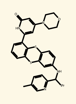 Cc1ccc(C(Nc2ccc3c(c2)Sc2cccc(-c4cc(N5CCOCC5)cc(=O)[nH]4)c2S3)C(C)C)nc1